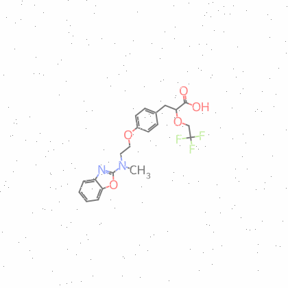 CN(CCOc1ccc(CC(OCC(F)(F)F)C(=O)O)cc1)c1nc2ccccc2o1